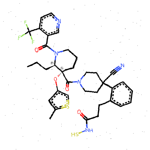 CCC[C@H]1N(C(=O)c2cnccc2C(F)(F)F)CCC[C@@]1(Oc1csc(C)c1)C(=O)N1CCC(C#N)(c2ccccc2CCC(=O)NS)CC1